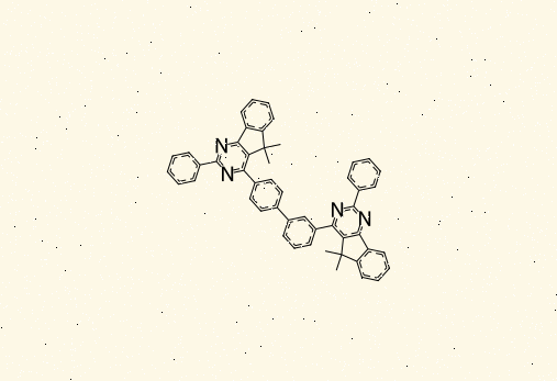 CC1(C)c2ccccc2-c2nc(-c3ccccc3)nc(-c3ccc(-c4cccc(-c5nc(-c6ccccc6)nc6c5C(C)(C)c5ccccc5-6)c4)cc3)c21